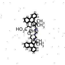 CC1(C)C(/C=C/C=C/C=C2\N(CCOC=O)c3c(c4ccccc4c4ccccc34)C2(C)C)=[N+](CCC(=O)O)c2c1c1ccccc1c1ccccc21